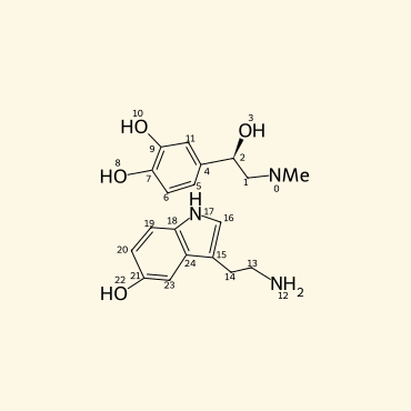 CNC[C@H](O)c1ccc(O)c(O)c1.NCCc1c[nH]c2ccc(O)cc12